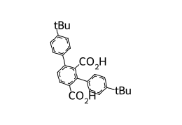 CC(C)(C)c1ccc(-c2ccc(C(=O)O)c(-c3ccc(C(C)(C)C)cc3)c2C(=O)O)cc1